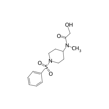 CN(C(=O)CO)C1CCN(S(=O)(=O)c2ccccc2)CC1